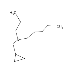 CCCCCN(CCC)CC1CC1